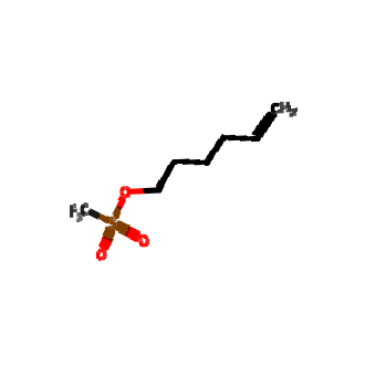 C=CCCCCOS(=O)(=O)C(F)(F)F